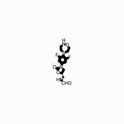 O=CNC[C@H]1CN(c2cc(F)c(N3CCNOCC3)c(F)c2)C(=O)O1